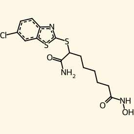 NC(=O)C(CCCCCC(=O)NO)Sc1nc2ccc(Cl)cc2s1